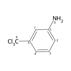 Nc1cccc(C(Cl)(Cl)Cl)c1